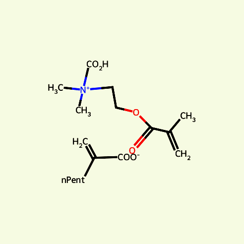 C=C(C)C(=O)OCC[N+](C)(C)C(=O)O.C=C(CCCCC)C(=O)[O-]